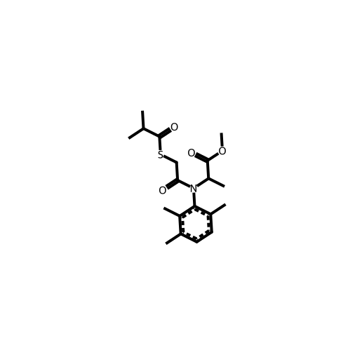 COC(=O)C(C)N(C(=O)CSC(=O)C(C)C)c1c(C)ccc(C)c1C